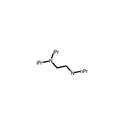 CCC[N]CCN(C(C)C)C(C)C